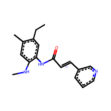 CCc1cc(NC(=O)/C=C/c2cccnc2)c(NC)cc1C